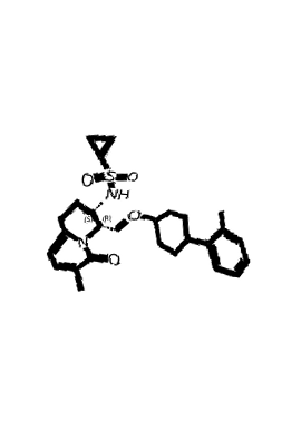 Cc1ccccc1C1CCC(OC[C@H]2[C@@H](NS(=O)(=O)C3CC3)CCc3ccc(C)c(=O)n32)CC1